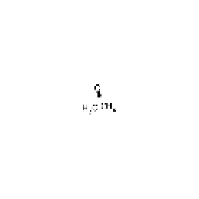 C.C=O.O